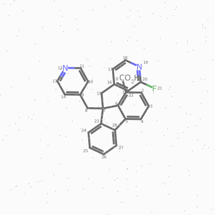 O=C(O)c1cccc2c1C(Cc1ccncc1)(Cc1ccnc(F)c1)c1ccccc1-2